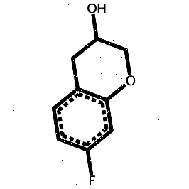 OC1COc2cc(F)ccc2C1